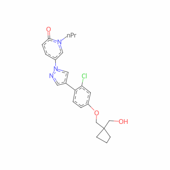 CCCn1cc(-n2cc(-c3ccc(OCC4(CO)CCC4)cc3Cl)cn2)ccc1=O